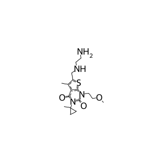 COCCn1c(=O)n(C2(C)CC2)c(=O)c2c(C)c(CNCCN)sc21